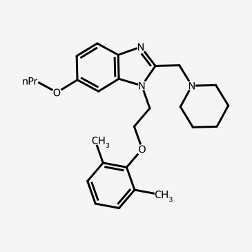 CCCOc1ccc2nc(CN3CCCCC3)n(CCOc3c(C)cccc3C)c2c1